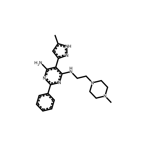 Cc1cc(-c2c(N)nc(-c3ccccc3)nc2NCCN2CCN(C)CC2)n[nH]1